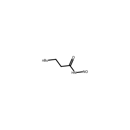 CCCCCCC(=O)NN=O